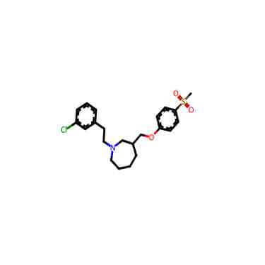 CS(=O)(=O)c1ccc(OCC2CCCCN(CCc3cccc(Cl)c3)C2)cc1